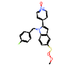 COOSc1ccc2c(c1)cc(-c1cc[n+]([O-])cc1)n2Cc1ccc(F)cc1